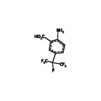 Nc1ccc(C(F)(C(F)(F)F)C(F)(F)F)cc1C(=O)O